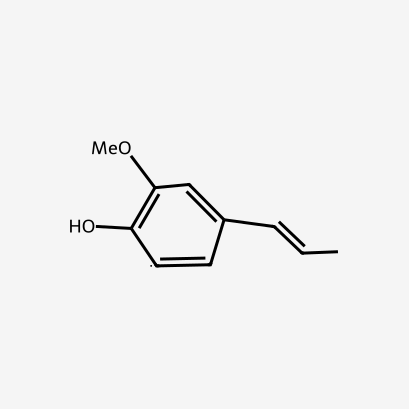 CC=Cc1c[c]c(O)c(OC)c1